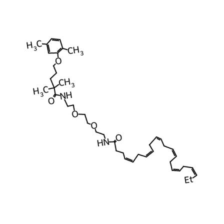 CC/C=C\C/C=C\C/C=C\C/C=C\C/C=C\C/C=C\CCC(=O)NCCOCCOCCNC(=O)C(C)(C)CCCOc1cc(C)ccc1C